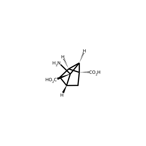 N[C@@]1(C(=O)O)[C@H]2C[C@H]3[C@H]1[C@@]3(C(=O)O)C2